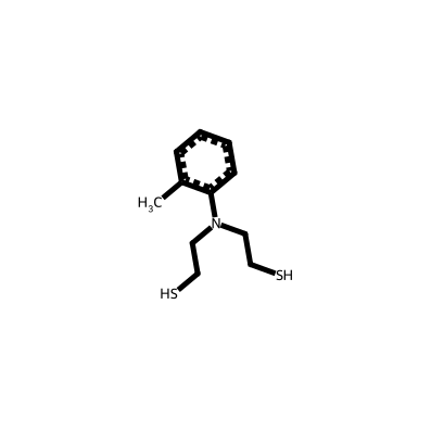 Cc1ccccc1N(CCS)CCS